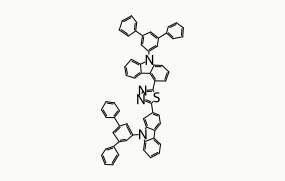 c1ccc(-c2cc(-c3ccccc3)cc(-n3c4ccccc4c4ccc(-c5nnc(-c6cccc7c6c6ccccc6n7-c6cc(-c7ccccc7)cc(-c7ccccc7)c6)s5)cc43)c2)cc1